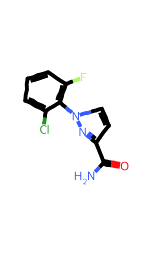 NC(=O)c1ccn(-c2c(F)cccc2Cl)n1